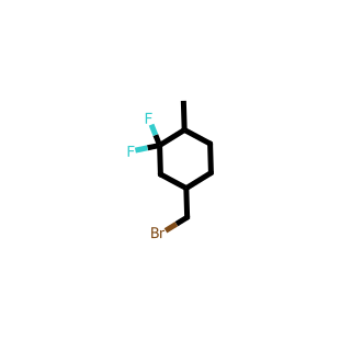 CC1CCC(CBr)CC1(F)F